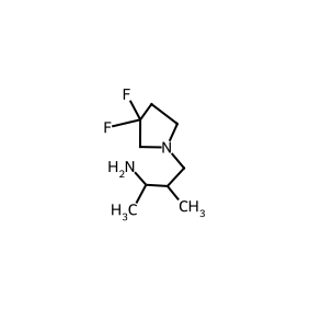 CC(N)C(C)CN1CCC(F)(F)C1